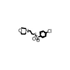 O=S(=O)(SCCN1CCOCC1)c1ccc(Cl)cc1